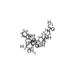 CC(=O)N1CCC2(CC1)CC(CC(CO)NC(=O)[C@H](CC(C)C)NC(=O)c1cc3ccccc3[nH]1)C(=O)N2